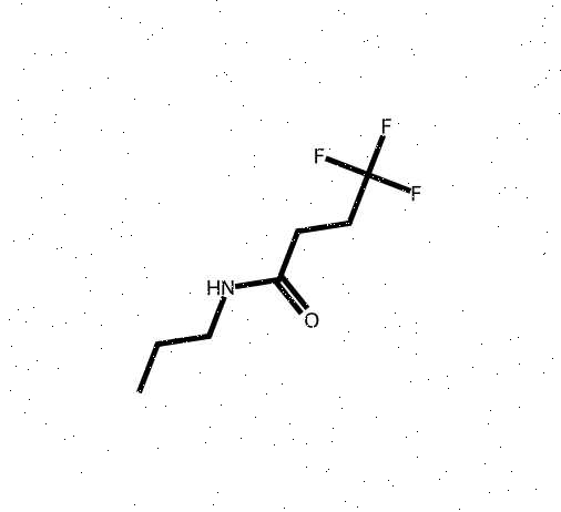 CCCNC(=O)CCC(F)(F)F